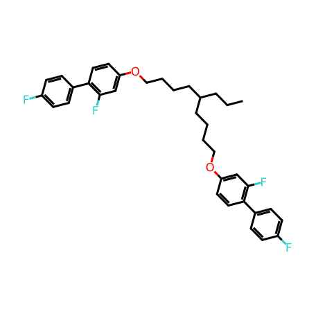 CCCC(CCCCOc1ccc(-c2ccc(F)cc2)c(F)c1)CCCCOc1ccc(-c2ccc(F)cc2)c(F)c1